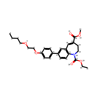 CCCCOCCOc1ccc(-c2ccc3c(c2)C=C(C(=O)OC)CCN3C(=O)OCC)cc1